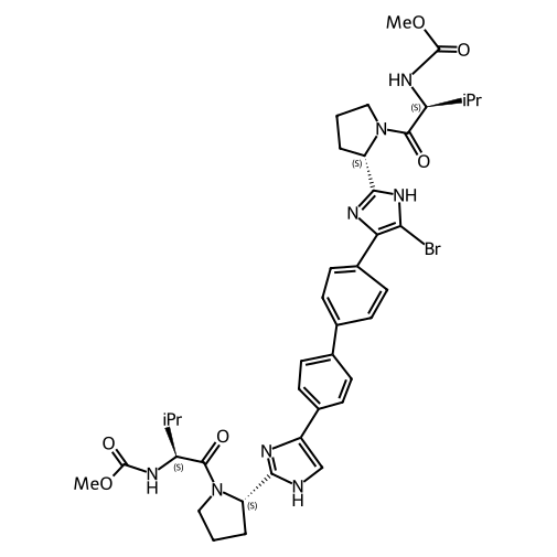 COC(=O)N[C@H](C(=O)N1CCC[C@H]1c1nc(-c2ccc(-c3ccc(-c4nc([C@@H]5CCCN5C(=O)[C@@H](NC(=O)OC)C(C)C)[nH]c4Br)cc3)cc2)c[nH]1)C(C)C